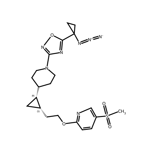 CS(=O)(=O)c1ccc(OCC[C@@H]2C[C@@H]2C2CCN(c3noc(C4(N=[N+]=[N-])CC4)n3)CC2)nc1